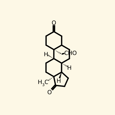 C[C@]12CC[C@@H]3[C@@H](CCC4CC(=O)CC[C@@]43CC=O)[C@@H]1CCC2=O